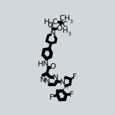 CC(C)(C)OC(=O)N1CCC(c2ccc(NC(=O)c3cnn4ccc(N5C[C@@H](F)C[C@@H]5c5cc(F)ccc5F)nc34)cc2)CC1